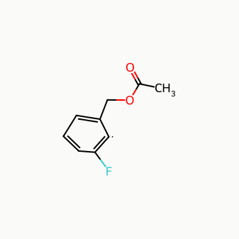 CC(=O)OCc1[c]c(F)ccc1